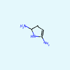 NC1=CCC(N)N1